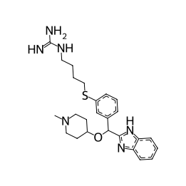 CN1CCC(OC(c2cccc(SCCCCNC(=N)N)c2)c2nc3ccccc3[nH]2)CC1